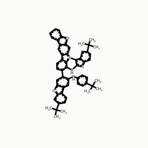 CC(C)(C)c1ccc(Nc2cc3c(cc2-c2ccc4c5cc6c(cc5n5c4c2Bc2sc4ccc(C(C)(C)C)cc4c2-5)oc2ccccc26)oc2cc(C(C)(C)C)ccc23)cc1